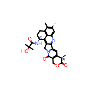 Cc1c(F)cc2nc3c(c4c2c1CC[C@@H]4NC(=O)C(C)(C)O)Cn1c-3cc2c(c1=O)COC(=O)[C@@H]2C